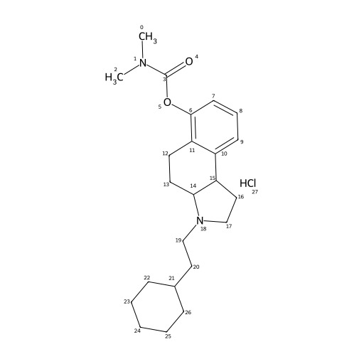 CN(C)C(=O)Oc1cccc2c1CCC1C2CCN1CCC1CCCCC1.Cl